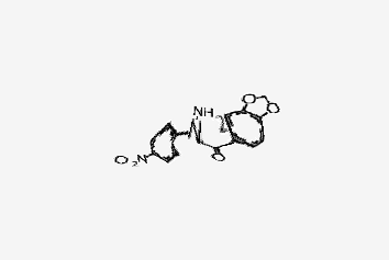 NN(C(=O)c1ccc2c(c1)OCO2)c1ccc([N+](=O)[O-])cc1